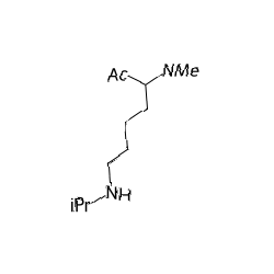 CNC(CCCCNC(C)C)C(C)=O